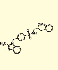 CO[C@@H](CNS(=O)(=O)c1ccc(Cn2c(C)nc3ccccc32)cc1)Cc1ccccc1